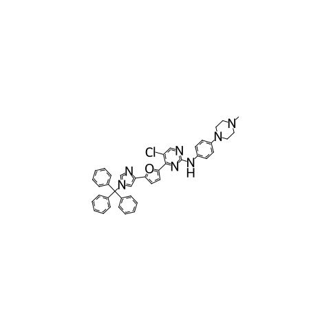 CN1CCN(c2ccc(Nc3ncc(Cl)c(-c4ccc(-c5cn(C(c6ccccc6)(c6ccccc6)c6ccccc6)cn5)o4)n3)cc2)CC1